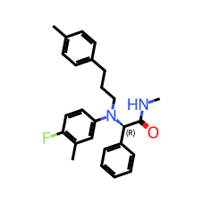 CNC(=O)[C@@H](c1ccccc1)N(CCCc1ccc(C)cc1)c1ccc(F)c(C)c1